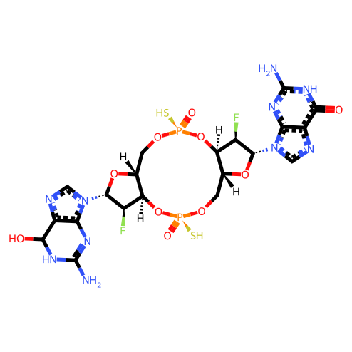 NC1=Nc2c(ncn2[C@@H]2O[C@@H]3CO[P@@](=O)(S)O[C@H]4[C@@H](F)[C@H](n5cnc6c(=O)[nH]c(N)nc65)O[C@@H]4CO[P@@](=O)(S)O[C@H]3[C@H]2F)C(O)N1